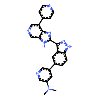 CN(C)c1cncc(-c2ccc3[nH]nc(-c4nc5c(-c6ccncc6)cncc5[nH]4)c3c2)c1